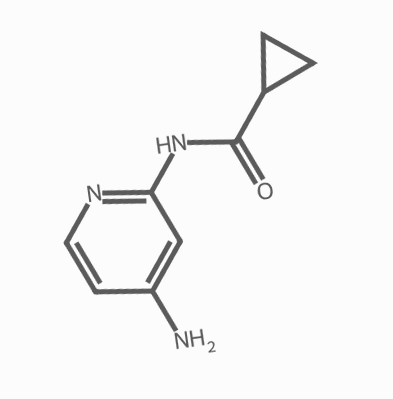 Nc1ccnc(NC(=O)C2CC2)c1